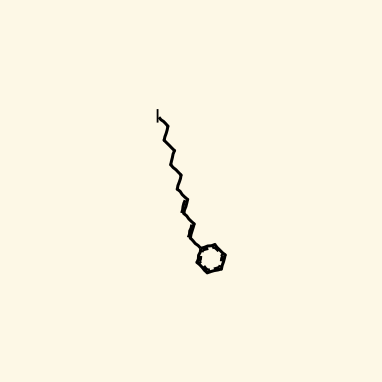 ICCCCCCC=CC=Cc1ccccc1